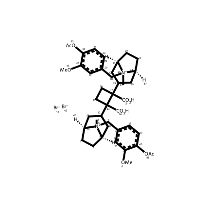 COc1cc(C[N+]2(C)[C@@H]3CC[C@H]2CC(C2(C(=O)O)CCC2(C(=O)O)C2C[C@H]4CC[C@@H](C2)[N+]4(C)Cc2ccc(OC(C)=O)c(OC)c2)C3)ccc1OC(C)=O.[Br-].[Br-]